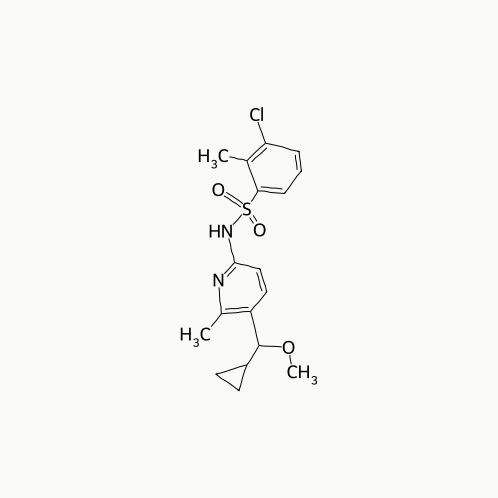 COC(c1ccc(NS(=O)(=O)c2cccc(Cl)c2C)nc1C)C1CC1